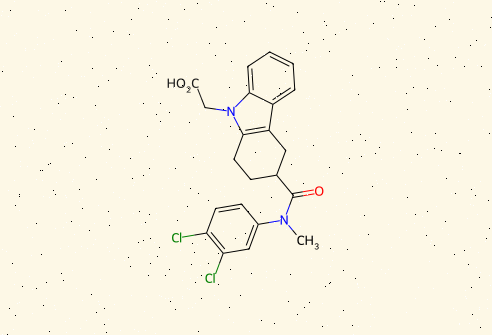 CN(C(=O)C1CCc2c(c3ccccc3n2CC(=O)O)C1)c1ccc(Cl)c(Cl)c1